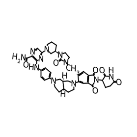 CN1CCN([C@@H]2CCCN(c3cnc(C(N)=O)c(Nc4ccc(N5CC[C@H]6CCN(c7ccc8c(c7)C(=O)N(C7CCC(=O)NC7=O)C8=O)C[C@@H]6C5)cc4)n3)C2)C1=O